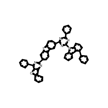 c1ccc(-c2nc(-c3ccc4sc5cc(-c6nc(-c7ccccc7)c7oc8ccccc8c7n6)ccc5c4c3)nc(-n3c4ccccc4c4c(-c5ccccc5)cccc43)n2)cc1